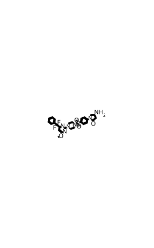 COc1cc(C(F)(F)c2ccccc2)nc(N2CCN(S(=O)(=O)c3ccc(N4CC(N)CC4=O)cc3)CC2)n1